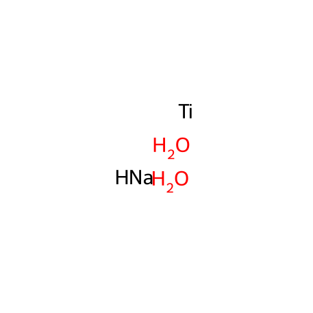 O.O.[NaH].[Ti]